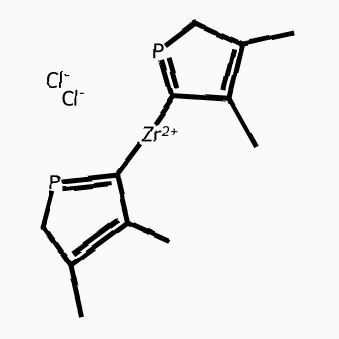 CC1=C(C)[C]([Zr+2][C]2=PCC(C)=C2C)=PC1.[Cl-].[Cl-]